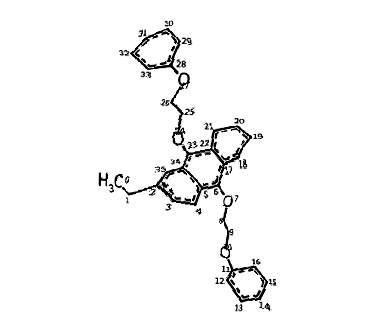 CCc1ccc2c(OCCOc3ccccc3)c3ccccc3c(OCCOc3ccccc3)c2c1